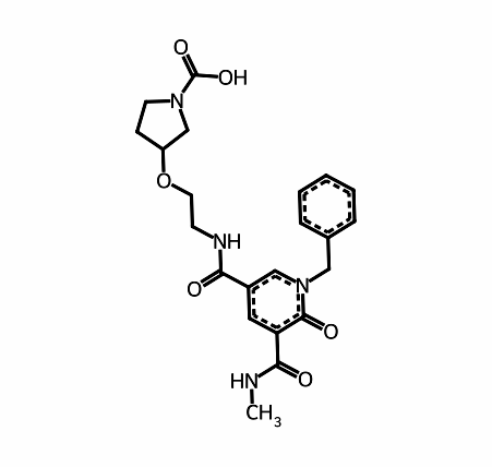 CNC(=O)c1cc(C(=O)NCCOC2CCN(C(=O)O)C2)cn(Cc2ccccc2)c1=O